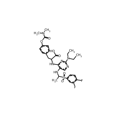 CCN(CC)c1ncc(NC(C)S(=O)(=O)c2ccc(F)c(F)c2)c(NC(Cc2ccc(OC(=O)N(C)C)cc2)C(=O)O)n1